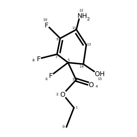 CCOC(=O)C1(F)C(F)=C(F)C(N)=CC1O